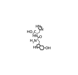 N[C@@H](Cc1c[nH]c2ccc(O)cc12)C(=O)N[C@@H](Cc1c[nH]cn1)C(=O)O